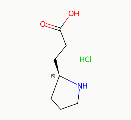 Cl.O=C(O)CC[C@@H]1CCCN1